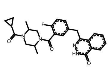 CC1CN(C(=O)C2CC2)C(C)CN1C(=O)c1cc(Cc2n[nH]c(=O)c3ccccc23)ccc1F